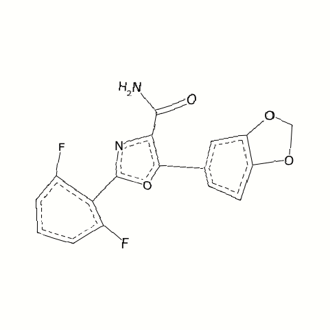 NC(=O)c1nc(-c2c(F)cccc2F)oc1-c1ccc2c(c1)OCO2